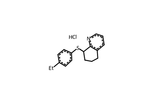 CCc1ccc(SC2CCCc3cccnc32)cc1.Cl